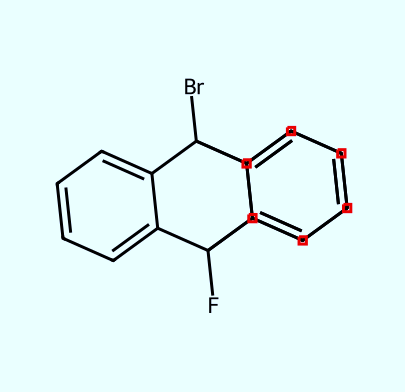 FC12c3ccccc3C(Br)(c3ccccc31)c1ccccc12